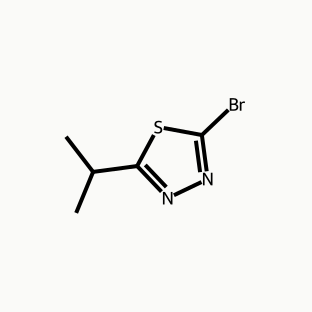 CC(C)c1nnc(Br)s1